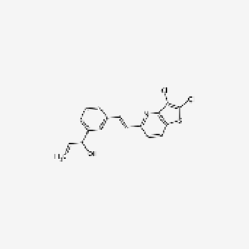 C=CC(O)c1cccc(C=Cc2ccc3sc(Cl)c(Cl)c3n2)c1